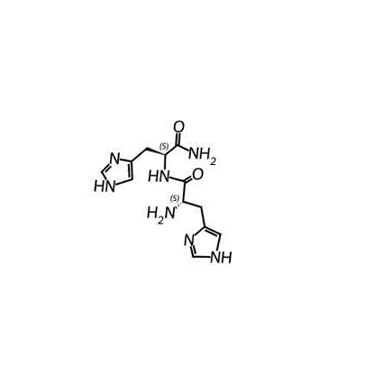 NC(=O)[C@H](Cc1c[nH]cn1)NC(=O)[C@@H](N)Cc1c[nH]cn1